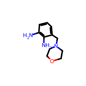 Nc1cccc(CN2CCOCC2)c1N